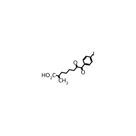 C=C(CCCCC(=O)C(=O)c1ccc(I)cc1)C(=O)O